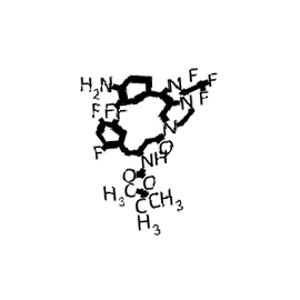 CC(C)(C)OC(=O)NC(CC(=O)N1CCn2c(C(F)(F)F)nc(-c3ccc(N)c(F)c3)c2C1)Cc1cc(F)c(F)cc1F